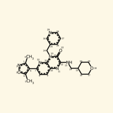 Cc1noc(C)c1-c1ccc2nc(NCC3CCOCC3)c(=O)n(Cc3cccnc3)c2n1